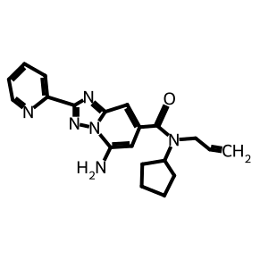 C=CCN(C(=O)c1cc(N)n2nc(-c3ccccn3)nc2c1)C1CCCC1